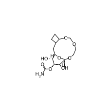 NC(=O)O[C@@H]1[C@H](O)[C@H]2OCCOCCC3CCC3C[C@@H](O2)[C@H]1O